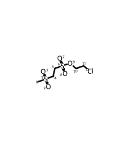 CS(=O)(=O)CCS(=O)(=O)OCCCl